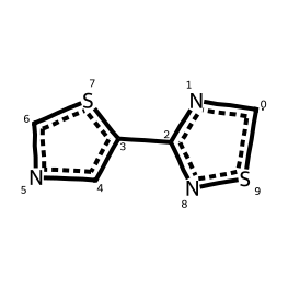 [c]1nc(-c2cncs2)ns1